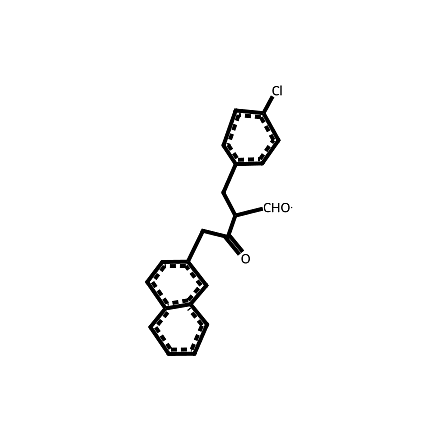 O=[C]C(Cc1ccc(Cl)cc1)C(=O)Cc1ccc2ccccc2c1